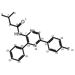 CC(C)CC(=O)Nc1ncc(-c2ccc(F)cc2)nc1-c1ccccc1